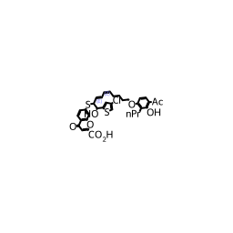 CCCc1c(OCCCC/C=C\C=C\C(Sc2ccc3c(=O)cc(C(=O)O)oc3c2)C(O)c2cc(Cl)cs2)ccc(C(C)=O)c1O